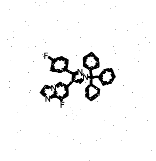 Fc1ccc(-c2nn(C(c3ccccc3)(c3ccccc3)C3C=CC=CC3)cc2-c2cc(F)c3nccn3c2)cc1